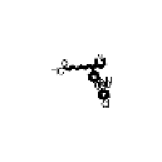 O=C(O)C=CCCCCC(c1cccnc1)c1cccc(NS(=O)(=O)c2ccc(Cl)cc2)c1